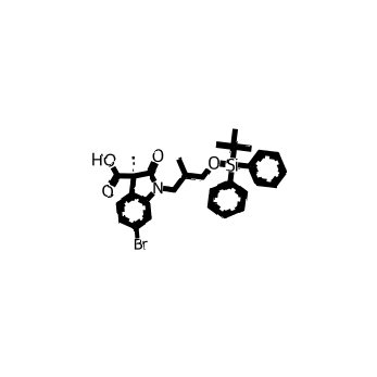 CC(CO[Si](c1ccccc1)(c1ccccc1)C(C)(C)C)CN1C(=O)[C@](C)(C(=O)O)c2ccc(Br)cc21